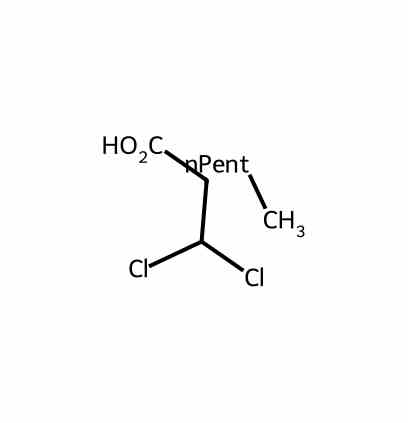 CCCCCC.O=C(O)CC(Cl)Cl